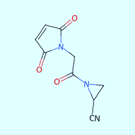 N#CC1CN1C(=O)CN1C(=O)C=CC1=O